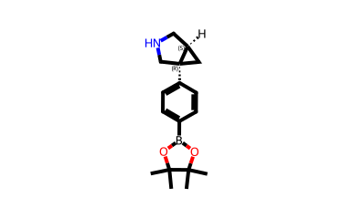 CC1(C)OB(c2ccc([C@]34CNC[C@H]3C4)cc2)OC1(C)C